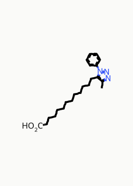 Cc1nnn(-c2ccccc2)c1CCCCCCCCCCCCC(=O)O